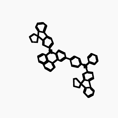 c1ccc(-c2cc(-c3ccc(N(c4ccccc4)c4ccc5c(c4)C4(CCCC4)c4ccccc4-5)cc3)ccc2N(c2ccccc2)c2ccc3c(c2)C2(CCCC2)c2ccccc2-3)cc1